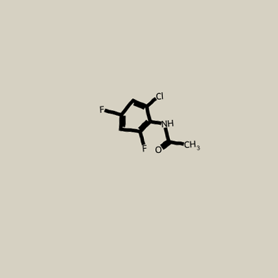 CC(=O)Nc1c(F)cc(F)cc1Cl